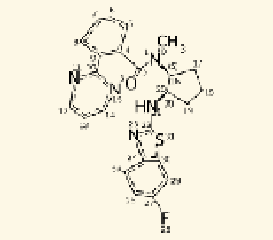 CN(C(=O)c1ccccc1-c1ncccn1)[C@H]1CCC[C@H]1Nc1nc2ccc(F)cc2s1